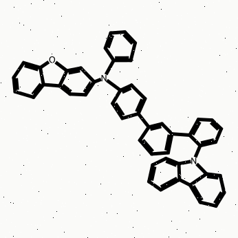 c1ccc(N(c2ccc(-c3cccc(-c4ccccc4-n4c5ccccc5c5ccccc54)c3)cc2)c2ccc3c(c2)oc2ccccc23)cc1